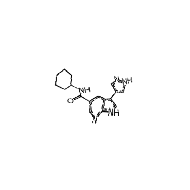 O=C(NC1CCCCC1)c1cnc2[nH]cc(-c3cn[nH]c3)c2c1